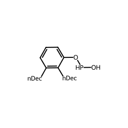 CCCCCCCCCCc1cccc(OPO)c1CCCCCCCCCC